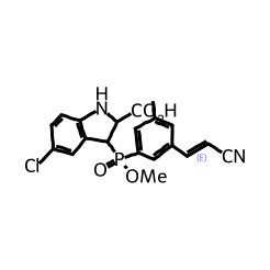 COP(=O)(c1cc(C)cc(/C=C/C#N)c1)C1c2cc(Cl)ccc2NC1C(=O)O